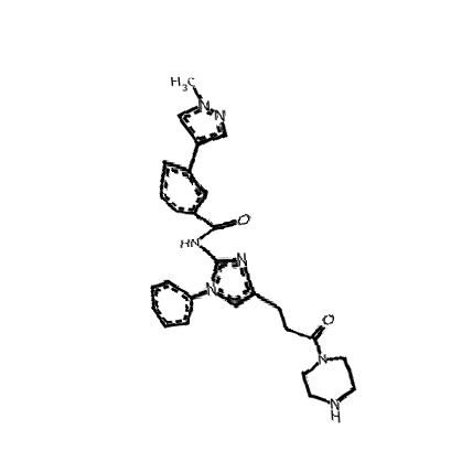 Cn1cc(-c2cccc(C(=O)Nc3nc(CCC(=O)N4CCNCC4)cn3-c3ccccc3)c2)cn1